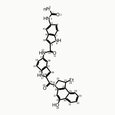 CCCC(=O)Nc1ccc2[nH]c(C(=O)Nc3ccc4[nH]c(C(=O)N5CC(CC)c6c5cc(O)c5ccccc65)cc4c3)cc2c1